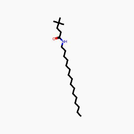 CCCCCCCCCCCCCCCCNC(=O)CCC(C)(C)C